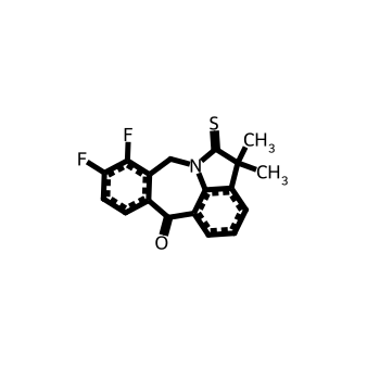 CC1(C)C(=S)N2Cc3c(ccc(F)c3F)C(=O)c3cccc1c32